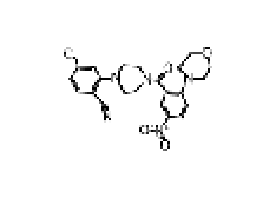 N#Cc1ccc(Cl)cc1N1CCN(C(=O)c2cc([N+](=O)[O-])ccc2N2CCOCC2)CC1